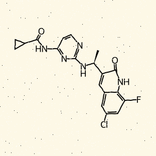 C[C@H](Nc1nccc(NC(=O)C2CC2)n1)c1cc2cc(Cl)cc(F)c2[nH]c1=O